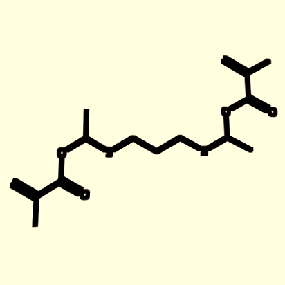 C=C(C)C(=O)OC(C)SCCCSC(C)OC(=O)C(=C)C